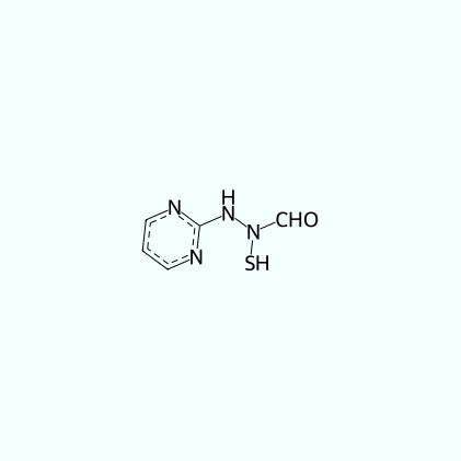 O=CN(S)Nc1ncccn1